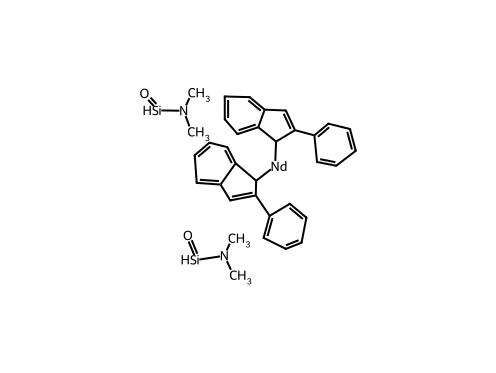 C1=C(c2ccccc2)[CH]([Nd][CH]2C(c3ccccc3)=Cc3ccccc32)c2ccccc21.CN(C)[SiH]=O.CN(C)[SiH]=O